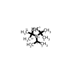 C[CH](C)[Bi]([C](C)(C)C)[C](C)(C)C